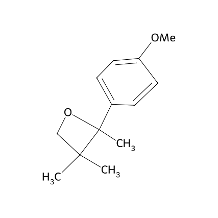 COc1ccc(C2(C)OCC2(C)C)cc1